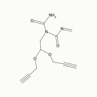 C#CCOC(CN(C(N)=O)C(=O)N=C)OCC#C